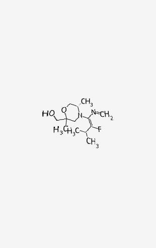 C=N/C(=C(\F)C(C)C)N1CC(C)(CO)OC[C@@H]1C